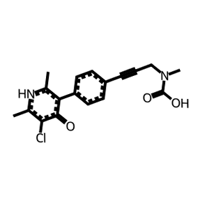 Cc1[nH]c(C)c(-c2ccc(C#CCN(C)C(=O)O)cc2)c(=O)c1Cl